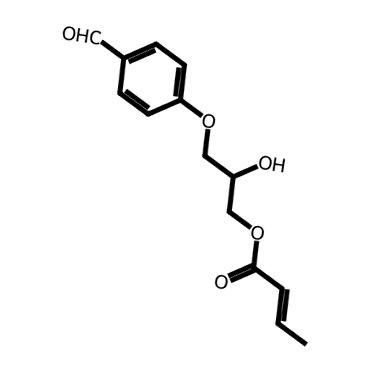 CC=CC(=O)OCC(O)COc1ccc(C=O)cc1